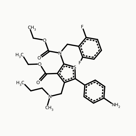 CCCN(C)Cc1c(-c2ccc(N)cc2)sc(N(Cc2c(F)cccc2F)C(=O)OCC)c1C(=O)OCC